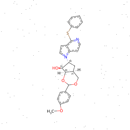 COc1ccc(C2OC[C@@H]3C[C@@H](n4ccc5c(Sc6ccccc6)nccc54)[C@H](O)[C@@H]3O2)cc1